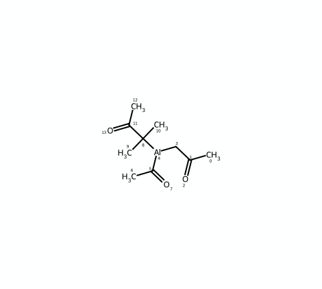 CC(=O)[CH2][Al]([C](C)=O)[C](C)(C)C(C)=O